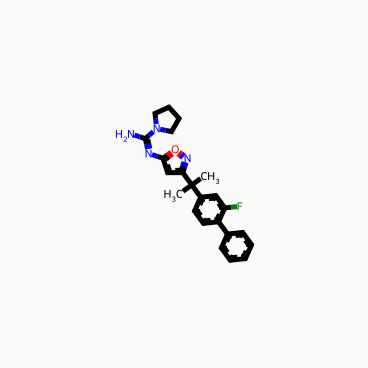 CC(C)(c1ccc(-c2ccccc2)c(F)c1)c1cc(/N=C(/N)N2CCCC2)on1